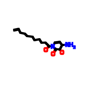 C=CCCCCCCCCC(=O)N1C=CC(N)C(=O)C1=O